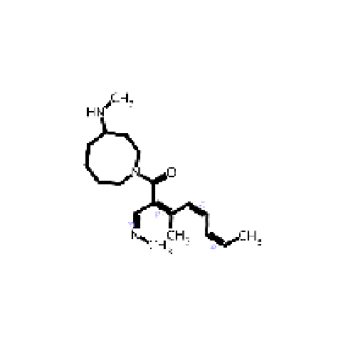 C\C=C/C=C\C(C)=C(\C=N/C)C(=O)N1CCCCC(NC)CC1